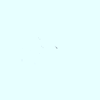 CCC1(C(F)F)CN2CC[C@@H](c3cccc(F)c3)N2C1=O